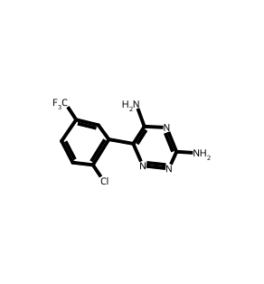 Nc1nnc(-c2cc(C(F)(F)F)ccc2Cl)c(N)n1